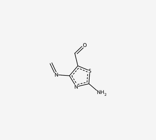 C=Nc1nc(N)sc1C=O